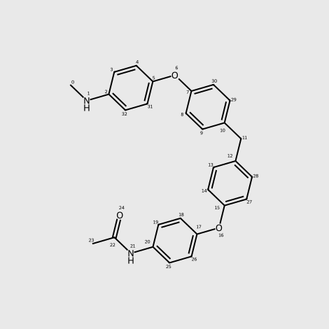 CNc1ccc(Oc2ccc(Cc3ccc(Oc4ccc(NC(C)=O)cc4)cc3)cc2)cc1